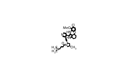 COc1c(Cl)cccc1Nc1c(-c2ccncc2C#C[C@H]2C[C@@H](C)CN2C(=O)/C=C/CN(C)C)[nH]c2c1C(=O)CCC2